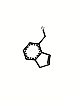 BrCc1cccc2c1C=CC2